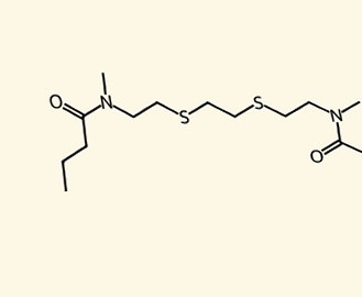 CCCC(=O)N(C)CCSCCSCCN(C)C(C)=O